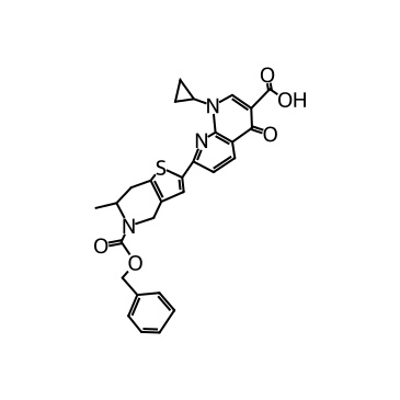 CC1Cc2sc(-c3ccc4c(=O)c(C(=O)O)cn(C5CC5)c4n3)cc2CN1C(=O)OCc1ccccc1